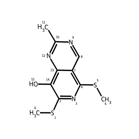 CSc1nc(SC)c2cnc(C)nc2c1O